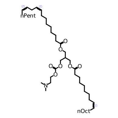 CCCCC/C=C\C/C=C\CCCCCCCC(=O)OCC(COC(=O)CCCCCCC/C=C\CCCCCCCC)COC(=O)OCCN(C)C